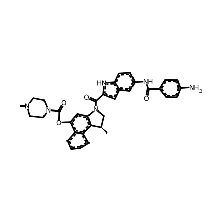 C[C@@H]1CN(C(=O)c2cc3cc(NC(=O)c4ccc(N)cc4)ccc3[nH]2)c2cc(OC(=O)N3CCN(C)CC3)c3ccccc3c21